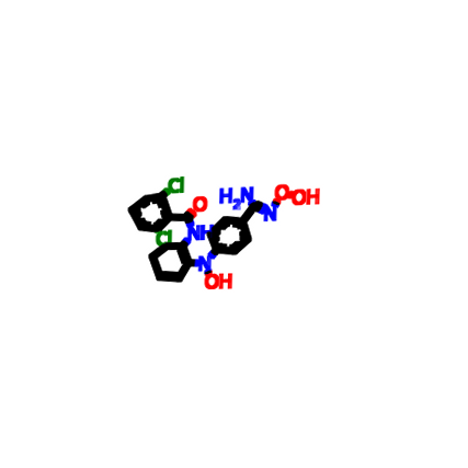 N/C(=N\OO)c1ccc(N(O)C2=C(NC(=O)c3c(Cl)cccc3Cl)CCC=C2)cc1